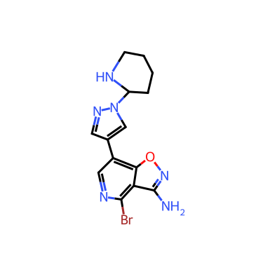 Nc1noc2c(-c3cnn(C4CCCCN4)c3)cnc(Br)c12